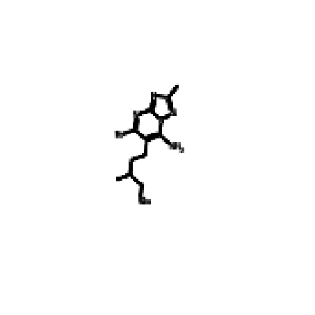 CCc1nc2nc(C)nn2c(N)c1CCC(C)CC(C)(C)C